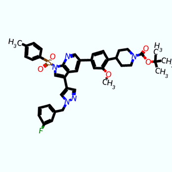 COc1cc(-c2cnc3c(c2)c(-c2cnn(Cc4cccc(F)c4)c2)cn3S(=O)(=O)c2ccc(C)cc2)ccc1C1CCN(C(=O)OC(C)(C)C)CC1